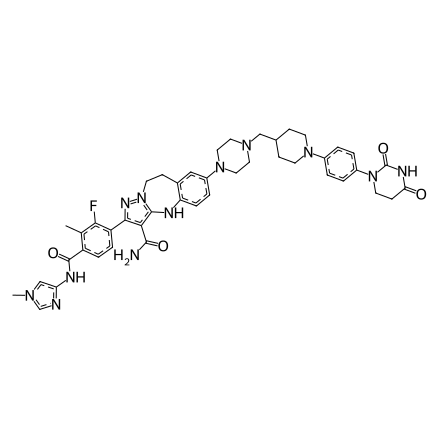 Cc1c(C(=O)Nc2cn(C)cn2)ccc(-c2nn3c(c2C(N)=O)Nc2ccc(N4CCN(CC5CCN(c6ccc(N7CCC(=O)NC7=O)cc6)CC5)CC4)cc2CC3)c1F